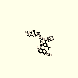 C#Cc1c(F)ccc2cc(O)cc(-c3c(C(C)C)cc4c(N5CC6CCC(C5)N6)nc(OCC5(CN(C[C@@H](N)CC)C6CC6)CC5)nc4c3F)c12